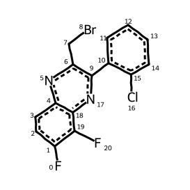 Fc1ccc2nc(CBr)c(-c3ccccc3Cl)nc2c1F